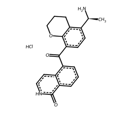 C[C@H](N)c1ccc(C(=O)c2cccc3c(=O)[nH]ccc23)c2c1CCCO2.Cl